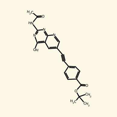 CC(=O)Nc1nc(O)c2cc(C#Cc3ccc(C(=O)OC(C)(C)C)cc3)cnc2n1